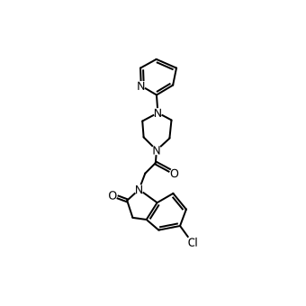 O=C(CN1C(=O)Cc2cc(Cl)ccc21)N1CCN(c2ccccn2)CC1